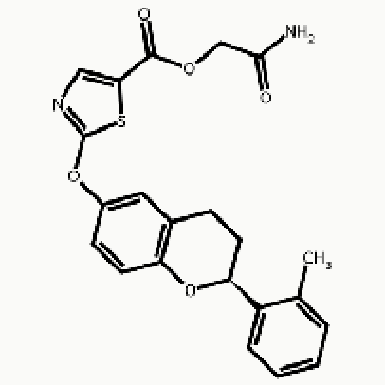 Cc1ccccc1[C@@H]1CCc2cc(Oc3ncc(C(=O)OCC(N)=O)s3)ccc2O1